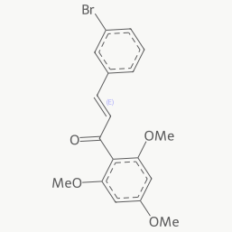 COc1cc(OC)c(C(=O)/C=C/c2cccc(Br)c2)c(OC)c1